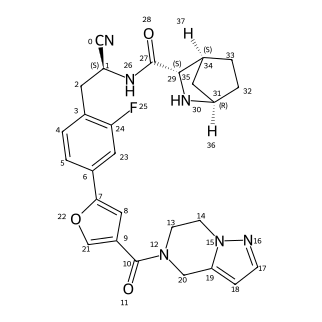 N#C[C@H](Cc1ccc(-c2cc(C(=O)N3CCn4nccc4C3)co2)cc1F)NC(=O)[C@H]1N[C@@H]2CC[C@H]1C2